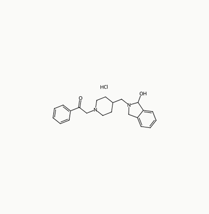 Cl.O=C(CN1CCC(CN2Cc3ccccc3C2O)CC1)c1ccccc1